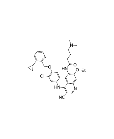 CCOc1cc2ncc(C#N)c(Nc3ccc(OCc4ncccc4C4CC4)c(Cl)c3)c2cc1NC(=O)CCCN(C)C